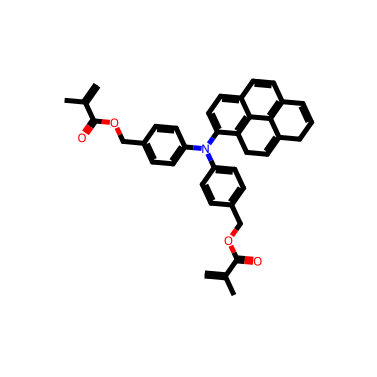 C=C(C)C(=O)OCc1ccc(N(c2ccc(COC(=O)C(=C)C)cc2)c2ccc3ccc4c5c3c2CC=C5CC=C4)cc1